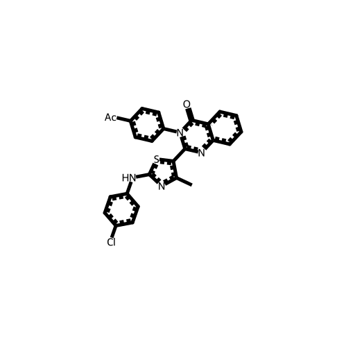 CC(=O)c1ccc(-n2c(-c3sc(Nc4ccc(Cl)cc4)nc3C)nc3ccccc3c2=O)cc1